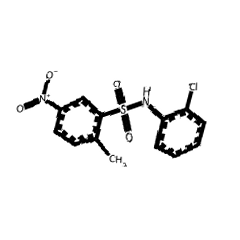 Cc1ccc([N+](=O)[O-])cc1S(=O)(=O)Nc1ccccc1Cl